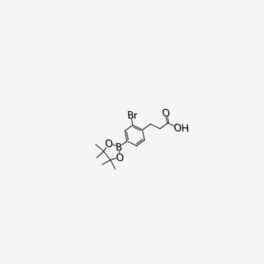 CC1(C)OB(c2ccc(CCC(=O)O)c(Br)c2)OC1(C)C